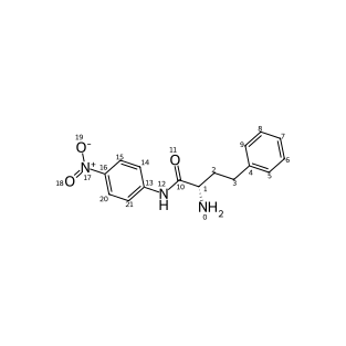 N[C@@H](CCc1ccccc1)C(=O)Nc1ccc([N+](=O)[O-])cc1